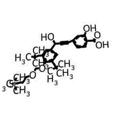 CC(C)(C)c1cc(C(O)C#Cc2ccc(C(=O)O)c(O)c2)cc(C(C)(C)C)c1OCOCC[Si](C)(C)C